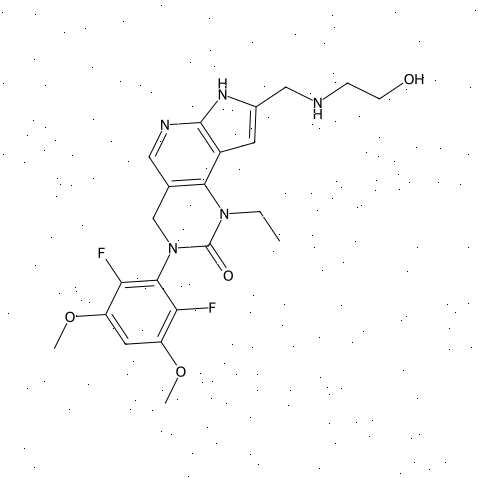 CCN1C(=O)N(c2c(F)c(OC)cc(OC)c2F)Cc2cnc3[nH]c(CNCCO)cc3c21